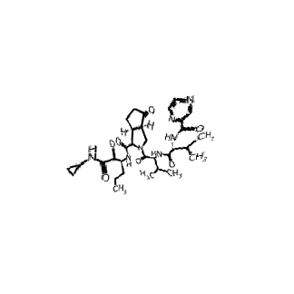 CCCC(NC(=O)C1[C@H]2CCC(=O)[C@H]2CN1C(=O)[C@@H](NC(=O)[C@H](NC(=O)c1cnccn1)C(C)C)C(C)C)C(=O)C(=O)NC1CC1